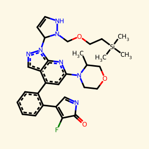 CC1COCCN1c1cc(-c2ccccc2C2=C(F)C(=O)N=C2)c2cnn(C3C=CNN3COCC[Si](C)(C)C)c2n1